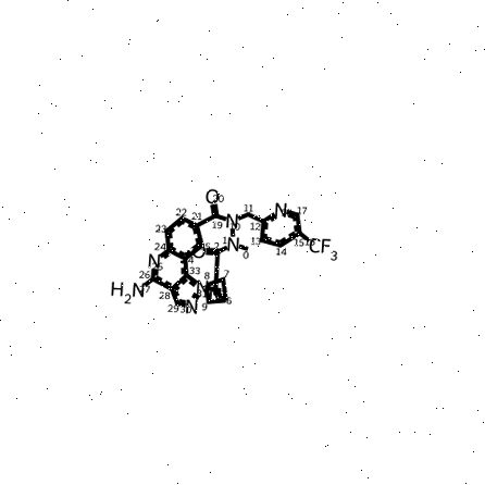 CN(C(=O)N1CC2CC1C2)N(Cc1ccc(C(F)(F)F)cn1)C(=O)c1ccc2nc(N)c3cnn(C)c3c2c1